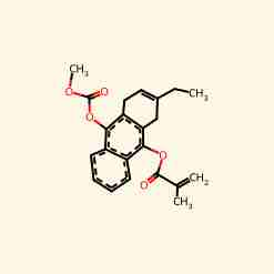 C=C(C)C(=O)Oc1c2c(c(OC(=O)OC)c3ccccc13)CC=C(CC)C2